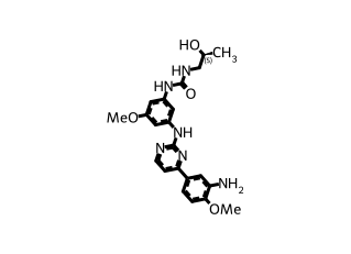 COc1cc(NC(=O)NC[C@H](C)O)cc(Nc2nccc(-c3ccc(OC)c(N)c3)n2)c1